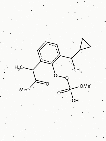 COC(=O)C(C)c1cccc(C(C)C2CC2)c1OOP(=O)(O)OC